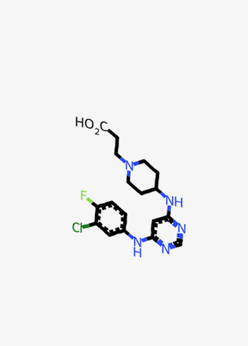 O=C(O)CCN1CCC(Nc2cc(Nc3ccc(F)c(Cl)c3)ncn2)CC1